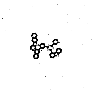 c1ccc(-c2nc(-c3ccc(-n4c5ccccc5c5cc6ccccc6cc54)c(-c4ccc5ccccc5c4)c3)nc(-c3cccc4oc5ccccc5c34)n2)cc1